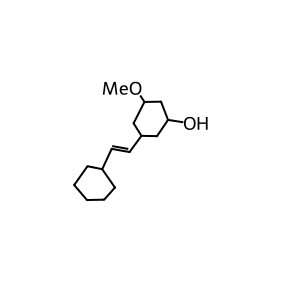 COC1CC(O)CC(/C=C/C2CCCCC2)C1